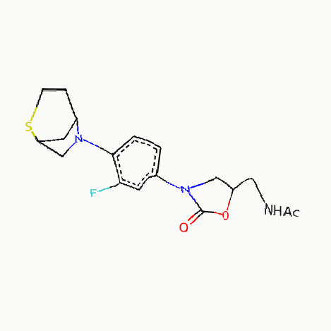 CC(=O)NCC1CN(c2ccc(N3CC4CC3CCS4)c(F)c2)C(=O)O1